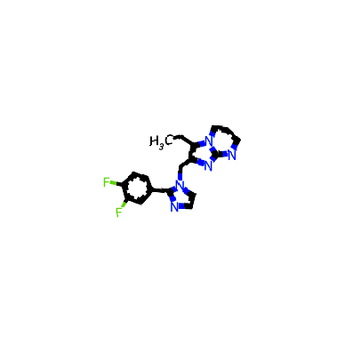 CCc1c(Cn2ccnc2-c2ccc(F)c(F)c2)nc2ncccn12